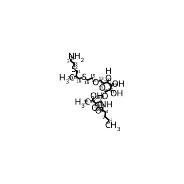 CCCCC(=O)N[C@@H](CO[C@H]1OC(COCCSCC(C)CSCCN)[C@H](O)C(O)C1O)[C@H](O)[C@@H](C)O